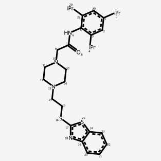 CC(C)c1cc(C(C)C)c(NC(=O)CN2CCN(CCSc3nc4ccccc4s3)CC2)c(C(C)C)c1